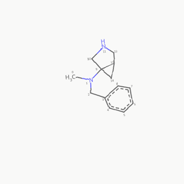 CN(Cc1ccccc1)C12CNCC1C2